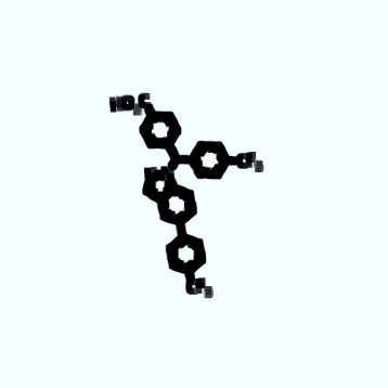 O=C(O)c1ccc(C(c2ccc(C(F)(F)F)cc2)n2ncc3cc(-c4ccc(C(F)(F)F)cc4)ccc32)cc1